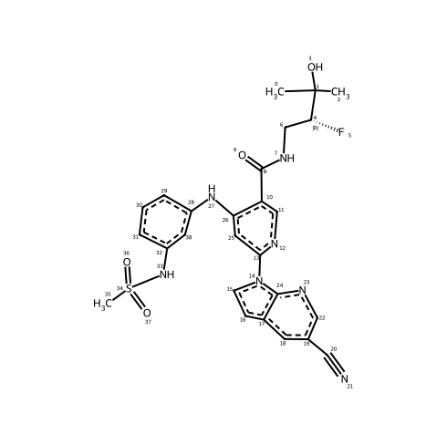 CC(C)(O)[C@H](F)CNC(=O)c1cnc(-n2ccc3cc(C#N)cnc32)cc1Nc1cccc(NS(C)(=O)=O)c1